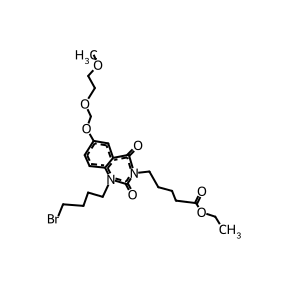 CCOC(=O)CCCCn1c(=O)c2cc(OCOCCOC)ccc2n(CCCCBr)c1=O